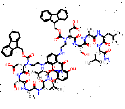 CC(C)C[C@H](NC(=O)[C@H](CC(C)C)NC(=O)[C@H](C)NC(=O)[C@H](CO)NC(=O)[C@H](CC(=O)O)N(CCNc1ccc(NCCN(C(=O)OCC2c3ccccc3-c3ccccc32)[C@@H](CC(=O)O)C(=O)N[C@@H](CO)C(=O)N[C@@H](C)C(=O)N[C@@H](CC(C)C)C(=O)N[C@@H](CC(C)C)C(N)=O)c2c1C(=O)c1c(O)ccc(O)c1C2=O)C(=O)OCC1c2ccccc2-c2ccccc21)C(N)=O